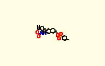 Cc1ccc(S(=O)(=O)OC[C@H]2CCc3cc([C@H]4CC[C@@H]5COC(=O)N[C@H]54)ccc3C2)cc1